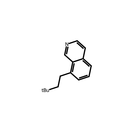 CC(C)(C)CCc1cccc2ccncc12